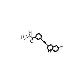 NNC(=O)c1cccc(C#Cc2cnc3ccc(F)cc3c2)c1